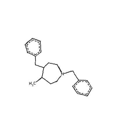 CC1CCN(Cc2ccccc2)CCC1Cc1ccccc1